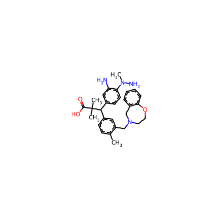 Cc1ccc(C(c2ccc(N(C)N)c(N)c2)C(C)(C)C(=O)O)cc1CN1CCOc2ccccc2C1